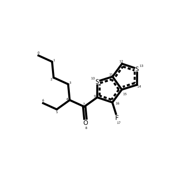 CCCCC(CC)C(=O)c1sc2cscc2c1F